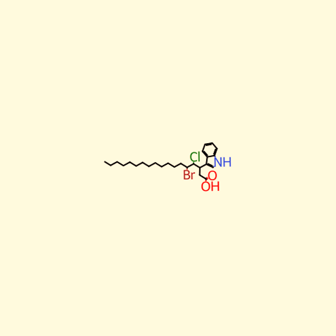 CCCCCCCCCCCCCC(Br)C(Cl)C(CC(=O)O)c1c[nH]c2ccccc12